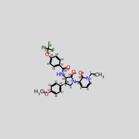 CCn1cccc(N2C[C@@H](c3ccc(OC)cc3)C(NC(=O)c3ccc(OC(F)(F)F)cc3)C2=O)c1=O